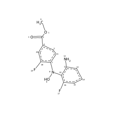 COC(=O)c1ccc(N(O)c2c(N)cccc2F)c(F)c1